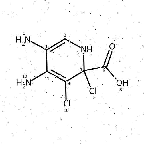 NC1=CNC(Cl)(C(=O)O)C(Cl)=C1N